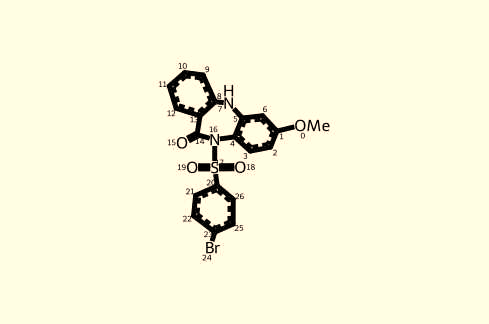 COc1ccc2c(c1)Nc1ccccc1C(=O)N2S(=O)(=O)c1ccc(Br)cc1